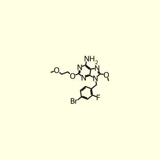 COCCOc1nc(N)c2nc(OC)n(Cc3ccc(Br)cc3F)c2n1